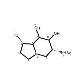 CC(=O)N[C@@H]1CN2CC[C@H](O)C2C(O)C1O